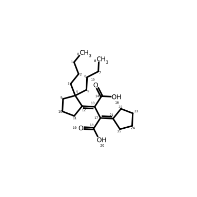 CCCCC1(CCCC)CCCC1=C(C(=O)O)C(C(=O)O)=C1CCCC1